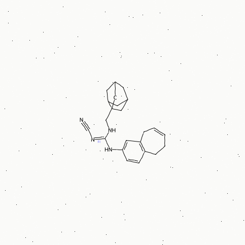 N#C/N=C(\NCC12CC3CC(CC1C3)C2)Nc1ccc2c(c1)CC=CCC2